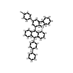 Cc1ccc(-c2cc(-c3c4ccccc4c(-c4ccc(-c5ccccc5)cc4)c4ccccc34)c3oc4ccccc4c3c2)cc1